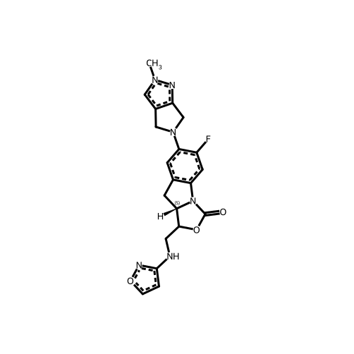 Cn1cc2c(n1)CN(c1cc3c(cc1F)N1C(=O)OC(CNc4ccon4)[C@@H]1C3)C2